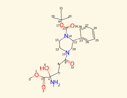 COC(=O)C(N)(O)CCC(=O)N1CCN(C(=O)OC(C)(C)C)C(c2ccccc2)C1